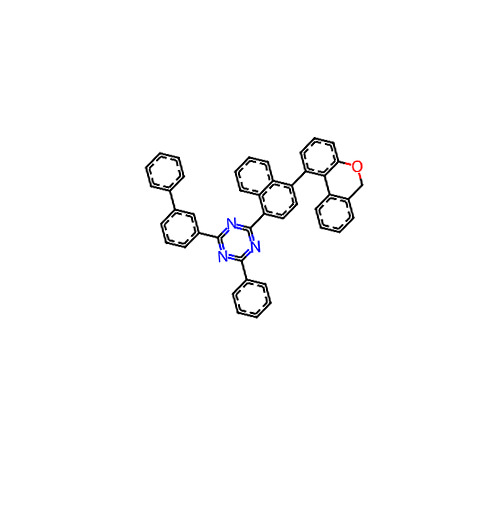 c1ccc(-c2cccc(-c3nc(-c4ccccc4)nc(-c4ccc(-c5cccc6c5-c5ccccc5CO6)c5ccccc45)n3)c2)cc1